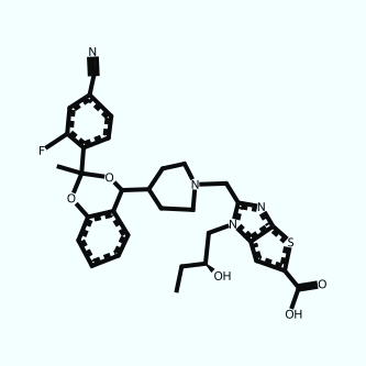 CC[C@H](O)Cn1c(CN2CCC(C3OC(C)(c4ccc(C#N)cc4F)Oc4ccccc43)CC2)nc2sc(C(=O)O)cc21